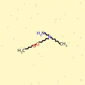 CCCCCCCN(CCCN)CCCCCCOCOCCCCCC